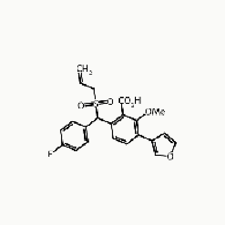 C=CCS(=O)(=O)C(c1ccc(F)cc1)c1ccc(-c2ccoc2)c(OC)c1C(=O)O